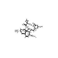 CCOC(=O)C1(C(=O)O[C@H]2C[C@@H](C)C=C3C=C[C@H](C)[C@H](CC[C@@H]4C[C@@H](O)CC(=O)O4)[C@H]32)CCC1